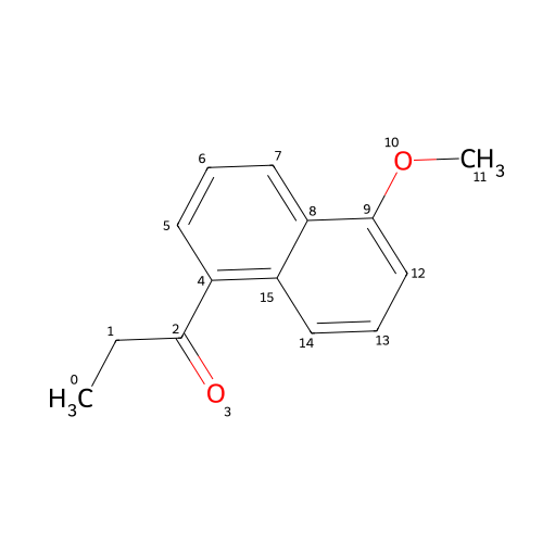 CCC(=O)c1cccc2c(OC)cccc12